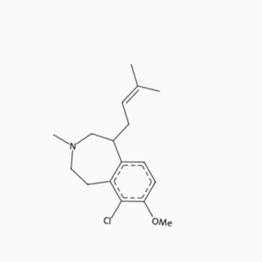 COc1ccc2c(c1Cl)CCN(C)CC2CC=C(C)C